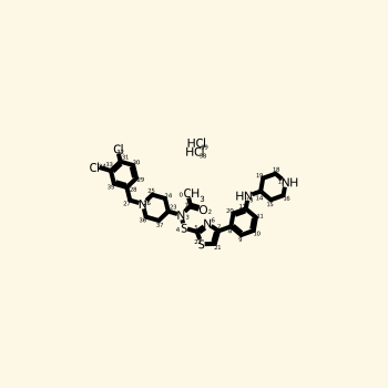 CC(=O)N(Sc1nc(-c2cccc(NC3CCNCC3)c2)cs1)C1CCN(Cc2ccc(Cl)c(Cl)c2)CC1.Cl.Cl